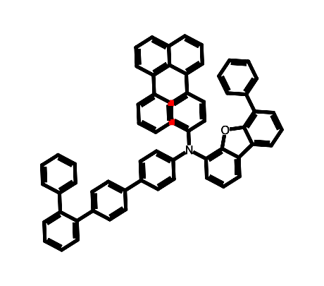 c1ccc(-c2ccccc2-c2ccc(-c3ccc(N(c4ccc(-c5cccc6cccc(-c7ccccc7)c56)cc4)c4cccc5c4oc4c(-c6ccccc6)cccc45)cc3)cc2)cc1